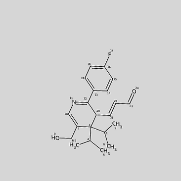 CC(C)C1(C(C)C)C(CO)=CN=C(c2ccc(F)cc2)C1C=CC=O